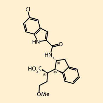 COCC[C@@H](C(=O)O)[C@@H]1c2ccccc2C[C@H]1NC(=O)c1cc2cc(Cl)ccc2[nH]1